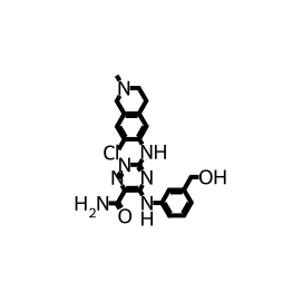 CN1CCc2cc(Nc3nnc(C(N)=O)c(Nc4cccc(CO)c4)n3)c(Cl)cc2C1